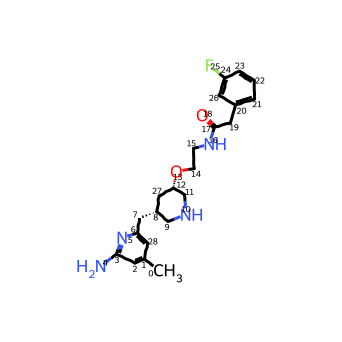 Cc1cc(N)nc(C[C@H]2CNC[C@@H](OCCNC(=O)Cc3cccc(F)c3)C2)c1